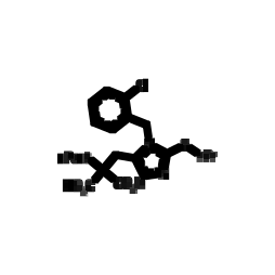 CCCCCC(Cc1cnc(SCCC)n1Cc1ccccc1Cl)(C(=O)O)C(=O)O